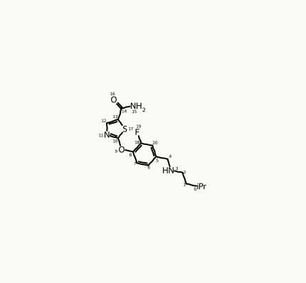 CC(C)CCNCc1ccc(Oc2ncc(C(N)=O)s2)c(F)c1